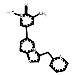 Cc1cc(-c2ccc3ncc(Cc4ccccn4)n3c2)cn(C)c1=O